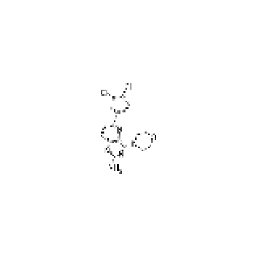 Nc1nc(N2CCOCC2)c2nc(-c3ccc(Cl)c(Cl)c3)ccc2n1